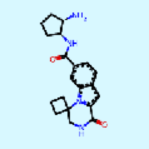 N[C@@H]1CCC[C@@H]1NC(=O)c1ccc2cc3n(c2c1)C1(CCC1)CNC3=O